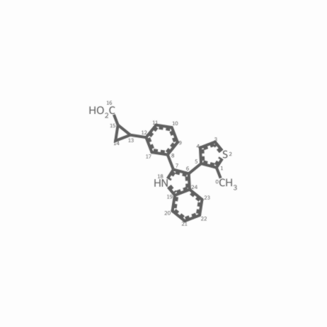 Cc1sccc1-c1c(-c2cccc(C3CC3C(=O)O)c2)[nH]c2ccccc12